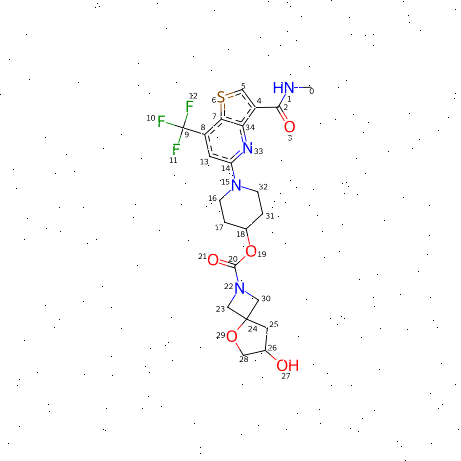 CNC(=O)c1csc2c(C(F)(F)F)cc(N3CCC(OC(=O)N4CC5(CC(O)CO5)C4)CC3)nc12